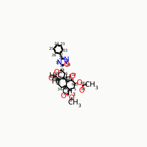 COC(=O)[C@@H]1C[C@H](OC(C)=O)C(=O)[C@@H]2[C@@]3(C)C[C@@H](c4nc(-c5ccccc5)no4)OC(=O)[C@H]3CC[C@]21C